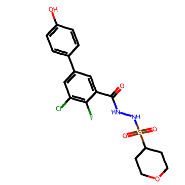 O=C(NNS(=O)(=O)C1CCOCC1)c1cc(-c2ccc(O)cc2)cc(Cl)c1F